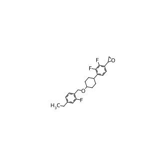 CCc1ccc(COC2CCC(c3ccc(C4CO4)c(F)c3F)CC2)c(F)c1